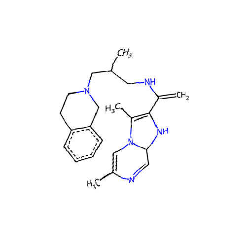 C=C(NCC(C)CN1CCc2ccccc2C1)C1=C(C)N2C=C(C)N=CC2N1